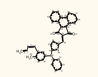 C=C/C=C\c1cc(N(c2ccccn2)c2ccc(C=C3C(=O)c4c(c5ccccc5c5ccccc45)C3=O)s2)ccc1C